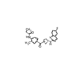 C=CC(=O)Nc1ccc(C(=O)N2CC[C@H](Nc3ncc4cc(F)ccc4n3)C2)cc1C